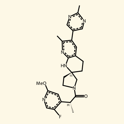 COc1cc([C@@H](C)C(=O)N2CC[C@@]3(CCc4cc(-c5cnc(C)nc5)c(C)nc4N3)C2)c(F)cn1